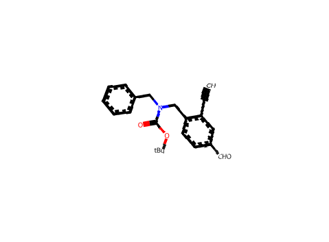 C#Cc1cc(C=O)ccc1CN(Cc1ccccc1)C(=O)OC(C)(C)C